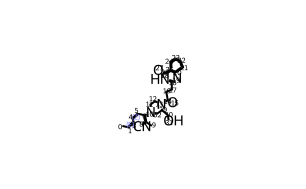 C/C=C(C#N)\C=C/C(=C(C)C)N1CCN(C(=O)CCc2nc3ccccc3c(=O)[nH]2)C(CO)C1